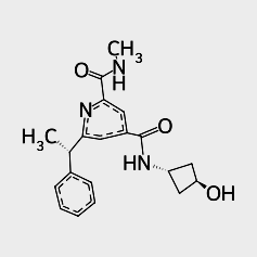 CNC(=O)c1cc(C(=O)N[C@H]2C[C@H](O)C2)cc([C@@H](C)c2ccccc2)n1